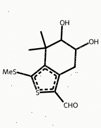 CSc1sc(C=O)c2c1C(C)(C)C(O)C(O)C2